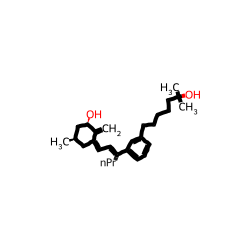 C=C1/C(=C\C=C(/CCC)c2cccc(CCCCCC(C)(C)O)c2)C[C@@H](C)C[C@@H]1O